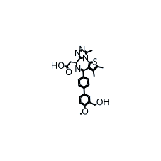 COc1ccc(-c2ccc(C3=N[C@@H](CC(=O)O)c4nnc(C)n4-c4sc(C)c(C)c43)cc2)cc1CO